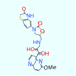 COc1ccc2nccc([C@H](O)[C@@H](O)CNCC3CN(c4ccc5c(c4)NC(=O)CS5)C(=O)O3)c2n1